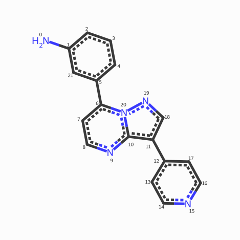 Nc1cccc(-c2ccnc3c(-c4ccncc4)cnn23)c1